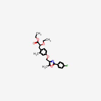 CCOC(=O)C(Cc1ccc(OCc2nc(-c3ccc(F)cc3)oc2C)cc1C)OCC